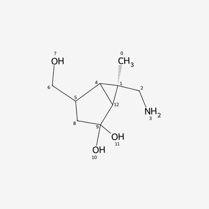 C[C@@]1(CN)C2C(CO)CC(O)(O)C21